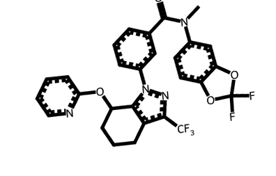 CN(C(=O)c1cccc(-n2nc(C(F)(F)F)c3c2C(Oc2ccccn2)CCC3)c1)c1ccc2c(c1)OC(F)(F)O2